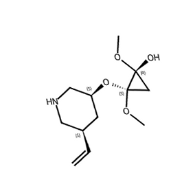 C=C[C@H]1CNC[C@@H](O[C@@]2(OC)C[C@@]2(O)OC)C1